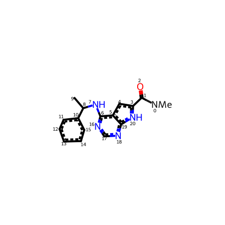 CNC(=O)c1cc2c(NC(C)c3ccccc3)ncnc2[nH]1